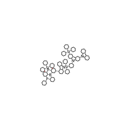 c1ccc(P2c3ccccc3B3c4cc(-c5cccc6c5c5ccccc5n6[Si](c5ccccc5)(c5ccccc5)c5cccc(-n6c7ccc(-n8c9ccccc9c9ccccc98)cc7c7cc([Si](c8ccccc8)(c8ccccc8)c8ccccc8)ccc76)c5)ccc4P([Si](c4ccccc4)(c4ccccc4)c4ccccc4)c4cccc2c43)cc1